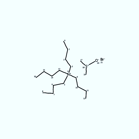 CCCC[N+](CCCC)(CCCC)CCCC.C[S+](C)[O-].[Br-]